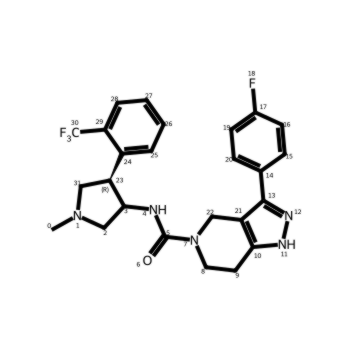 CN1CC(NC(=O)N2CCc3[nH]nc(-c4ccc(F)cc4)c3C2)[C@H](c2ccccc2C(F)(F)F)C1